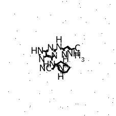 Cc1cc(Nc2nc(N[C@@H]3C[C@H]4CC[C@@H](C3)N4CCC#N)c3nc[nH]c3n2)n[nH]1